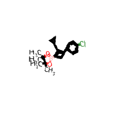 CC1(C)OB(C23CC(c4ccc(Cl)cc4)(C2)C3C2CC2)OC1(C)C